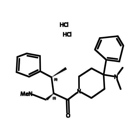 CNC[C@@H](C(=O)N1CCC(c2ccccc2)(N(C)C)CC1)[C@@H](C)c1ccccc1.Cl.Cl